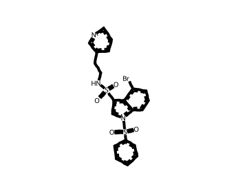 O=S(=O)(NCCc1cccnc1)c1cn(S(=O)(=O)c2ccccc2)c2cccc(Br)c12